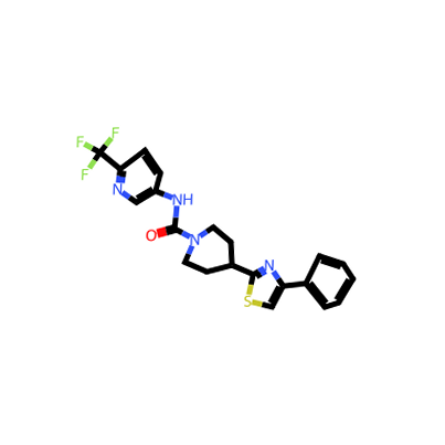 O=C(Nc1ccc(C(F)(F)F)nc1)N1CCC(c2nc(-c3ccccc3)cs2)CC1